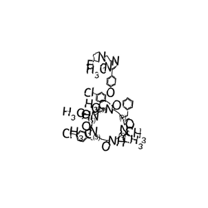 COC[C@@H]1NC(=O)[C@H](C)N(Cc2ccc(Cl)cc2Oc2ccc(-c3cnc(CN4CCC(F)C4)n3C)cc2)C(=O)C[C@@H](Cc2ccccc2)C(=O)N(C)[C@@H](C)CNC(=O)C[C@H](Cc2ccc(Cl)cc2)N(C)C1=O